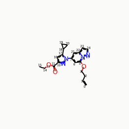 C=CCCOc1cc(-n2nc(C(=O)OCC)cc2C2CC2)cc2ccnn12